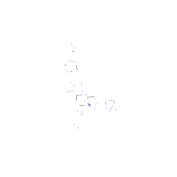 CN1CCN(c2cc(C(=O)NCc3ccc(C#N)cc3)nc3cc(-c4ccnn4C4COC4)nn23)[C@H](CF)C1